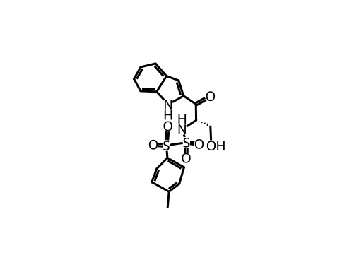 Cc1ccc(S(=O)(=O)S(=O)(=O)N[C@@H](CO)C(=O)c2cc3ccccc3[nH]2)cc1